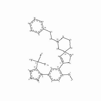 COc1ccc(-n2nnnc2C(F)(F)F)cc1C1=CC2(CCCN(CCc3ccccc3)C2)OC1